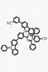 N#Cc1cccc(-c2ccc3c4ccc(-c5cccc(C#N)c5)cc4n(-c4ccc(-c5ccc6c(c5)c5ccccc5n6-c5ccccc5)cc4-c4nc(-c5ccccc5)nc(-c5ccccc5)n4)c3c2)c1